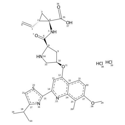 C=C[C@@H]1C[C@]1(NC(=O)[C@H]1C[C@@H](Oc2cc(-c3nc(C(C)C)cs3)nc3c(C)c(OC)ccc23)CN1)C(=O)O.Cl.Cl